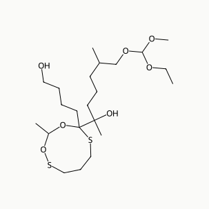 CCOC(OC)OCC(C)CCCC(C)(O)C1(CCCCO)OC(C)OSCCCS1